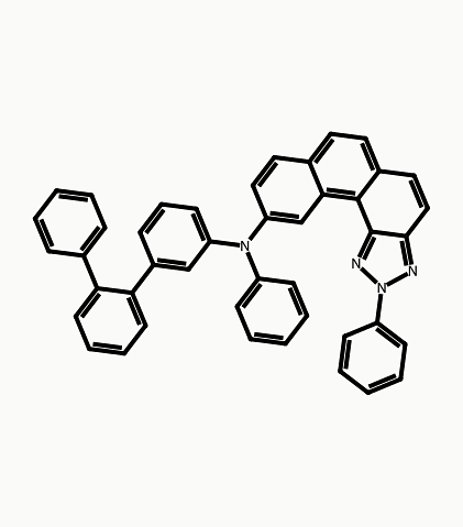 c1ccc(-c2ccccc2-c2cccc(N(c3ccccc3)c3ccc4ccc5ccc6nn(-c7ccccc7)nc6c5c4c3)c2)cc1